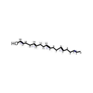 C/C=C/CC/C=C/CC/C=C/CC/C=C/CC/C=C/O